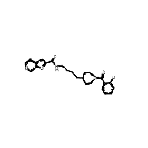 O=C(NCCCCC1CCN(C(=O)c2ccccc2Cl)CC1)c1cc2ccncc2o1